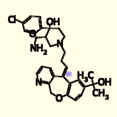 CC(C)(O)c1ccc2c(c1)/C(=C/CCN1CCC(O)(c3ccc(Cl)cc3)C(C(N)=O)C1)c1cccnc1CO2